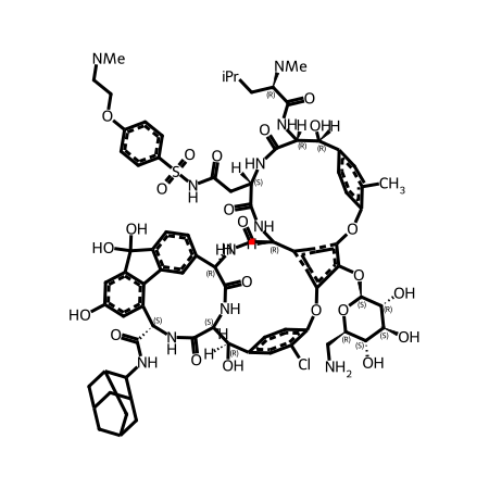 CNCCOc1ccc(S(=O)(=O)NC(=O)C[C@@H]2NC(=O)[C@H](NC(=O)[C@@H](CC(C)C)NC)[C@H](O)c3ccc(c(C)c3)Oc3cc4cc(c3O[C@@H]3O[C@H](CN)[C@@H](O)[C@H](O)[C@H]3O)Oc3ccc(cc3Cl)[C@@H](O)[C@@H]3NC(=O)[C@H](NC(=O)[C@@H]4NC2=O)c2ccc4c(c2)-c2c(cc(O)cc2C4(O)O)[C@@H](C(=O)NC2C4CC5CC(C4)CC2C5)NC3=O)cc1